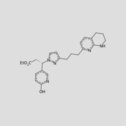 CCOC(=O)C[C@@H](c1ccc(O)nc1)n1ccc(CCCc2ccc3c(n2)NCCC3)n1